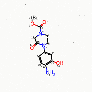 CC(C)(C)OC(=O)N1CCN(c2ccc(N)c(O)c2)C(=O)C1